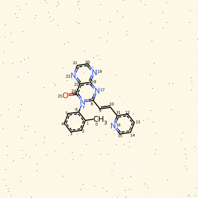 Cc1ccccc1-n1c(C=Cc2ccccn2)nc2nccnc2c1=O